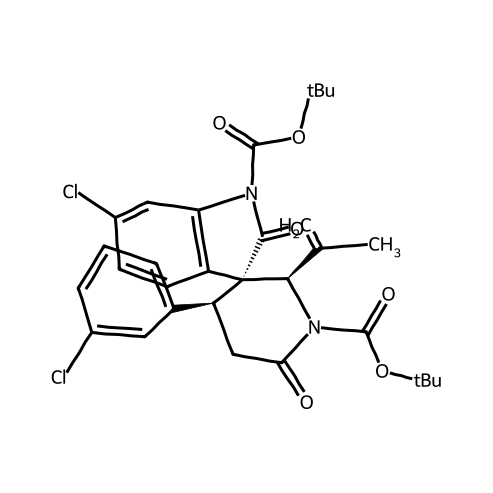 C=C(C)[C@H]1N(C(=O)OC(C)(C)C)C(=O)C[C@@H](c2cccc(Cl)c2)[C@]12C(=O)N(C(=O)OC(C)(C)C)c1cc(Cl)ccc12